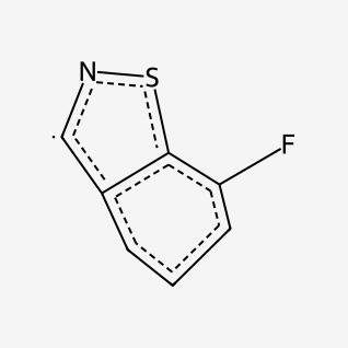 Fc1cccc2[c]nsc12